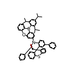 CC(C)c1cc(C(C)C)c(B2c3ccccc3Oc3cc(N4c5ccc(-c6ccccc6)cc5C5(c6ccccc6Sc6ccccc65)c5cc(-c6ccccc6)ccc54)ccc32)c(C(C)C)c1